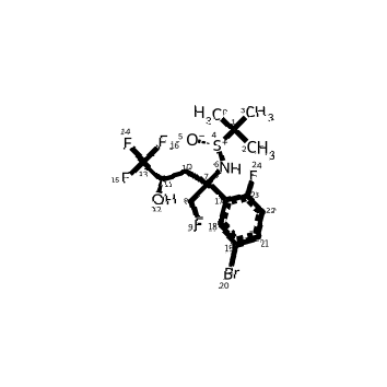 CC(C)(C)[S@@+]([O-])NC(CF)(C[C@@H](O)C(F)(F)F)c1cc(Br)ccc1F